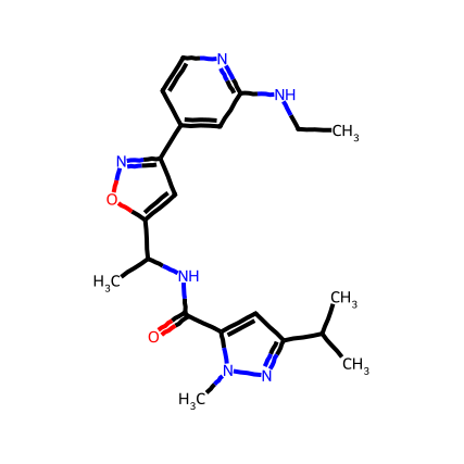 CCNc1cc(-c2cc(C(C)NC(=O)c3cc(C(C)C)nn3C)on2)ccn1